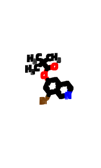 CC(C)(C)C(=O)Oc1cc(Br)c2cnccc2c1